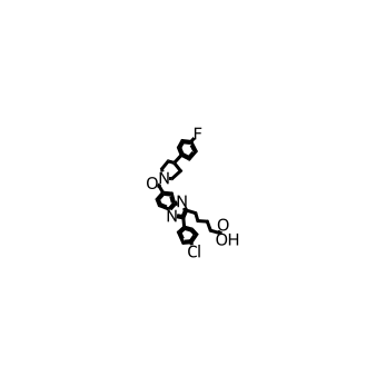 O=C(O)CCCCc1nc2cc(C(=O)N3CCC(c4ccc(F)cc4)CC3)ccc2nc1-c1ccc(Cl)cc1